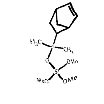 CO[Si](OC)(OC)O[Si](C)(C)C1CC2C=CC1C2